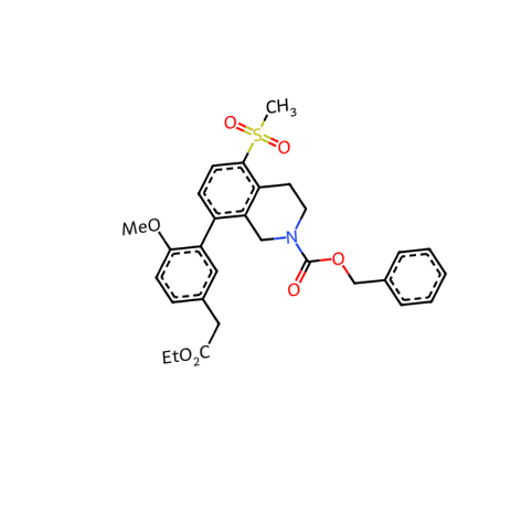 CCOC(=O)Cc1ccc(OC)c(-c2ccc(S(C)(=O)=O)c3c2CN(C(=O)OCc2ccccc2)CC3)c1